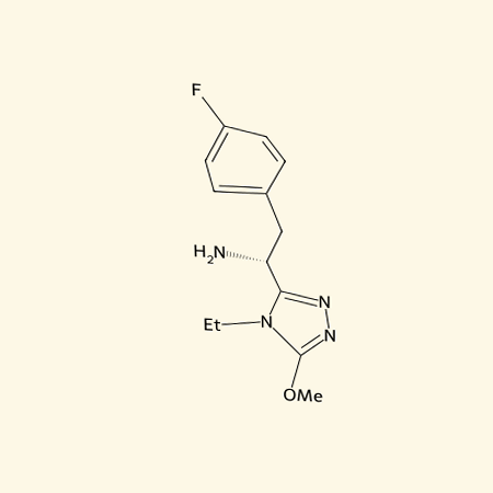 CCn1c(OC)nnc1[C@H](N)Cc1ccc(F)cc1